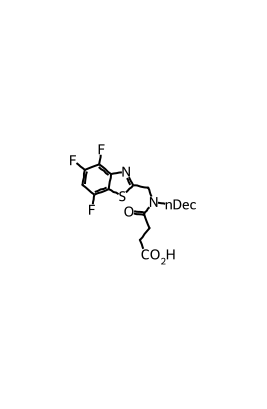 CCCCCCCCCCN(Cc1nc2c(F)c(F)cc(F)c2s1)C(=O)CCC(=O)O